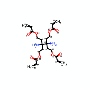 C=CC(=O)OCCC(N)(CCOC(=O)C=C)C(N)(CCOC(=O)C=C)CCOC(=O)C=C